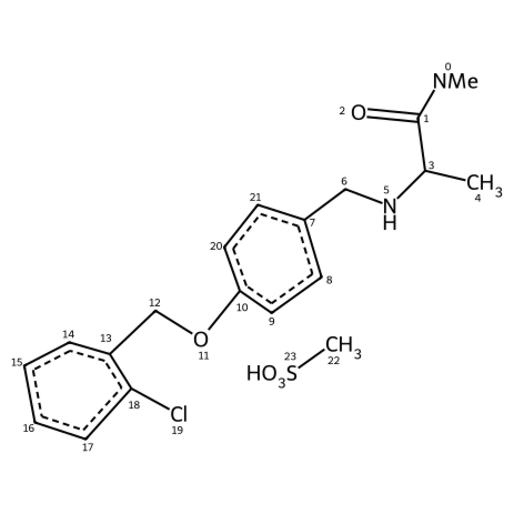 CNC(=O)C(C)NCc1ccc(OCc2ccccc2Cl)cc1.CS(=O)(=O)O